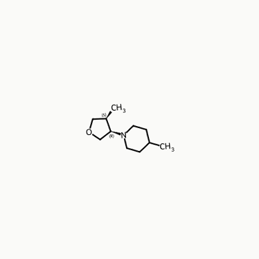 CC1CCN([C@H]2COC[C@H]2C)CC1